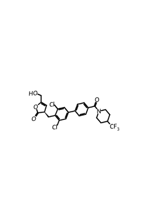 O=C1OC(CO)=C[C@H]1Cc1c(Cl)cc(-c2ccc(C(=O)N3CCC(C(F)(F)F)CC3)cc2)cc1Cl